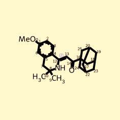 COc1ccc2c(c1)CC(C)(C)N/C2=C\C(=O)C12CC3CC(CC(C3)C1)C2